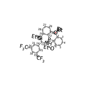 CCOc1cccc(OCC)c1P(NC(=O)c1cc(C(F)(F)F)cc(C(F)(F)F)c1)c1c(OCC)cccc1OCC